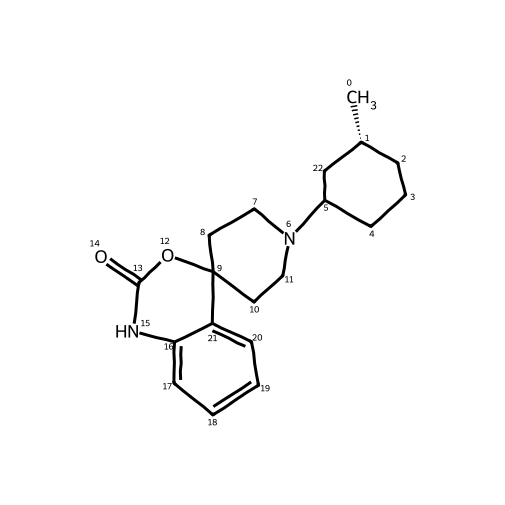 C[C@@H]1CCCC(N2CCC3(CC2)OC(=O)Nc2ccccc23)C1